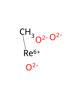 [CH3][Re+6].[O-2].[O-2].[O-2]